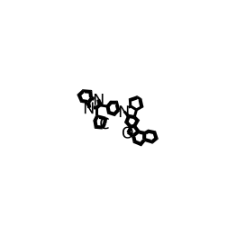 C1=CC2c3cc4c(cc3N(c3ccc(-c5nc6ccccc6nc5-c5ccccc5)cc3)C2C=C1)oc1ccc2ccccc2c14